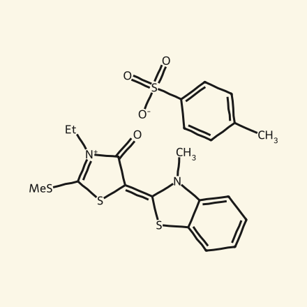 CC[N+]1=C(SC)SC(=C2Sc3ccccc3N2C)C1=O.Cc1ccc(S(=O)(=O)[O-])cc1